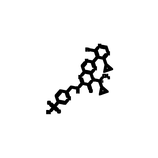 CCc1ncnc(C2CC2)c1-c1ncc2nc(NCc3ccc(S(=O)(=O)CC)cn3)c(=O)n([C@@H](C)C3CC3)c2n1